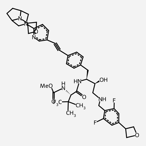 COC(=O)N[C@H](C(=O)N[C@@H](Cc1ccc(C#Cc2ccc(N3CC4CCC(C3)N4C3COC3)nc2)cc1)[C@@H](O)CNCc1c(F)cc(C2COC2)cc1F)C(C)(C)C(F)(F)F